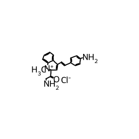 C[n+]1c(C(=O)CN)cc(C=Cc2ccc(N)cc2)c2ccccc21.[Cl-]